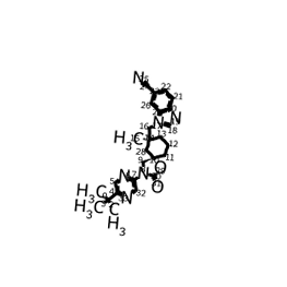 CC(C)(C)c1cnc(N2C[C@@]3(CCC[C@](C)(Cn4cnc5ccc(C#N)cc54)C3)OC2=O)cn1